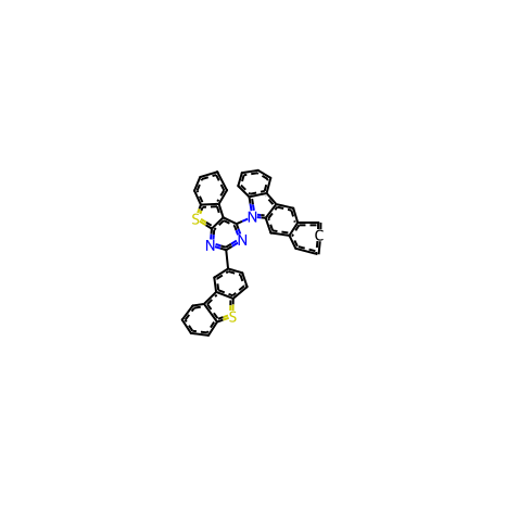 c1ccc2cc3c(cc2c1)c1ccccc1n3-c1nc(-c2ccc3sc4ccccc4c3c2)nc2sc3ccccc3c12